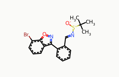 CC(C)(C)[S+]([O-])N=Cc1ccccc1-c1noc2c(Br)cccc12